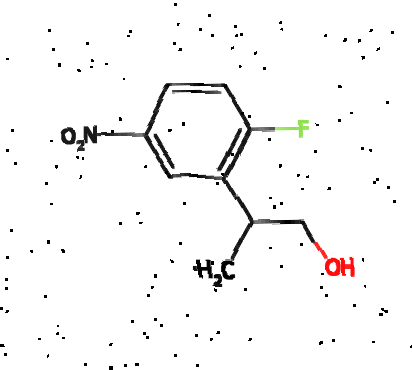 [CH2]C(CO)c1cc([N+](=O)[O-])ccc1F